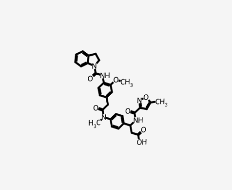 COc1cc(CC(=O)N(C)c2ccc(C(CC(=O)O)NC(=O)c3cc(C)on3)cc2)ccc1NC(=O)N1CCc2ccccc21